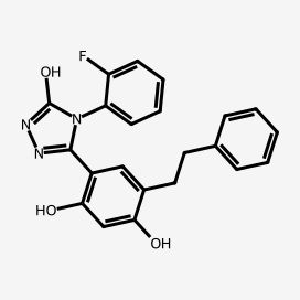 Oc1cc(O)c(-c2nnc(O)n2-c2ccccc2F)cc1CCc1ccccc1